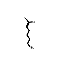 CCCCCCCCC=C(Br)Br